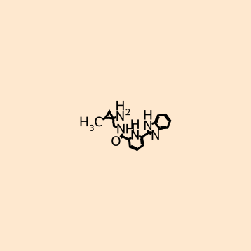 CC1CC1(N)CNC(=O)C1C=CC=C(c2nc3ccccc3[nH]2)N1